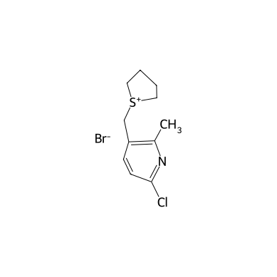 Cc1nc(Cl)ccc1C[S+]1CCCC1.[Br-]